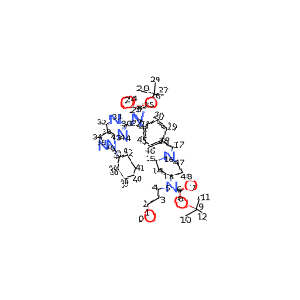 COCCCN(C(=O)OC(C)(C)C)C1CCN(Cc2ccc(N(C(=O)OC(C)(C)C)c3ncc4cnn(C5CCCCC5)c4n3)cc2)CC1